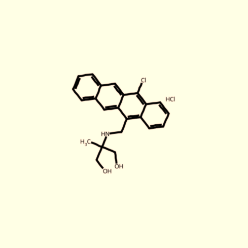 CC(CO)(CO)NCc1c2ccccc2c(Cl)c2cc3ccccc3cc12.Cl